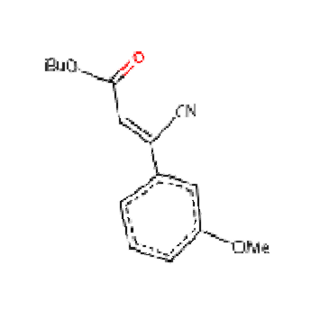 COc1cccc(C(C#N)=CC(=O)OCC(C)C)c1